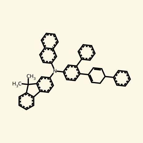 CC1(C)c2ccccc2-c2ccc(N(c3ccc(C4=CCC(c5ccccc5)C=C4)c(-c4ccccc4)c3)c3ccc4ccccc4c3)cc21